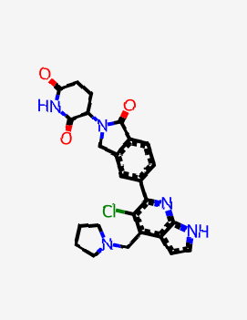 O=C1CCC(N2Cc3cc(-c4nc5[nH]ccc5c(CN5CCCC5)c4Cl)ccc3C2=O)C(=O)N1